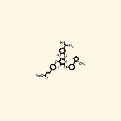 COC(=O)/C=C/c1ccc(Oc2c(F)c(Oc3cccc(-c4nccn4C)c3)nc(Oc3cc(C(=N)N)ccc3O)c2F)cc1